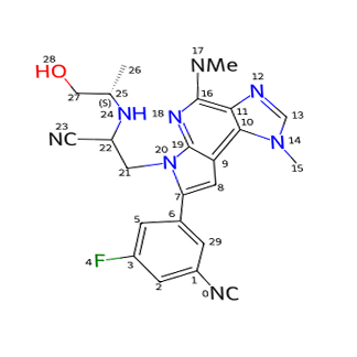 [C-]#[N+]c1cc(F)cc(-c2cc3c4c(ncn4C)c(NC)nc3n2CC(C#N)N[C@@H](C)CO)c1